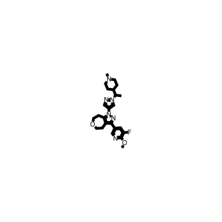 COc1ncc(-c2nn(-c3cnn(C(C)C4CCN(C)CC4)c3)c3c2CCOCC3)cc1F